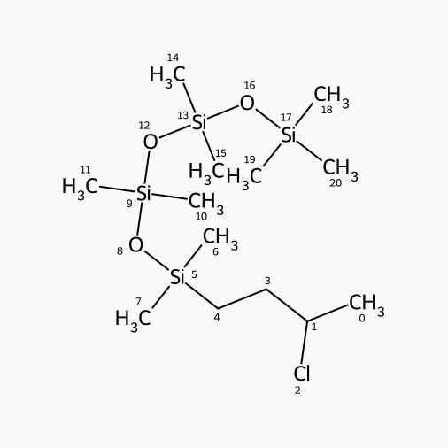 CC(Cl)CC[Si](C)(C)O[Si](C)(C)O[Si](C)(C)O[Si](C)(C)C